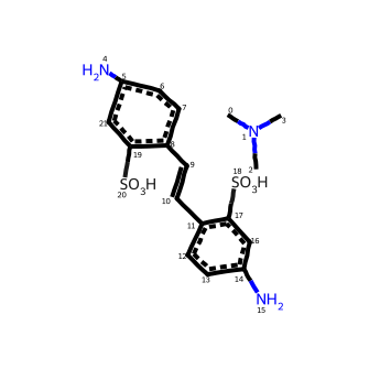 CN(C)C.Nc1ccc(C=Cc2ccc(N)cc2S(=O)(=O)O)c(S(=O)(=O)O)c1